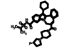 CN(C)S(=O)(=O)NC(=O)c1ccc2c(C3CCCCC3)c3n(c2c1)CC(C(=O)N1CCC(N2CC[C@H](F)C2)CC1)=Cc1ccccc1-3